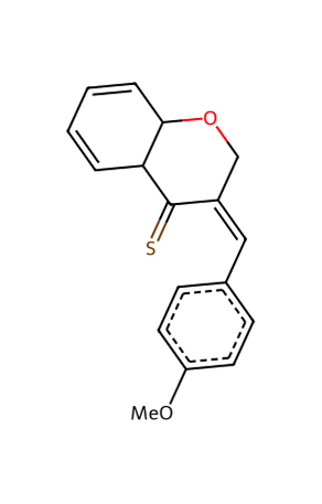 COc1ccc(C=C2COC3C=CC=CC3C2=S)cc1